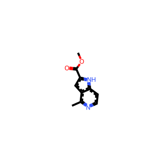 COC(=O)c1cc2c(C)nccc2[nH]1